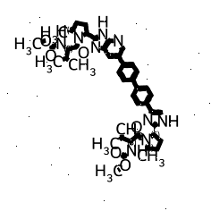 COC(=O)N[C@H](C(=O)N1C(c2nc3cc(-c4ccc(-c5ccc(-c6c[nH]c([C@@H]7CC[C@H](C)N7C(=O)[C@@H](NC(=O)OC)C(C)C)n6)cc5)cc4)cnc3[nH]2)CC[C@@H]1C)C(C)C